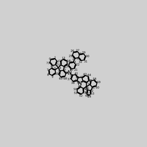 c1ccc(C2(c3ccccc3)c3ccccc3-c3c(N(c4ccc(-c5cccc6ccccc56)cc4)c4ccc5c(c4)c4cccc6c4n5-c4ccccc4C64c5ccccc5-c5ccccc54)cccc32)cc1